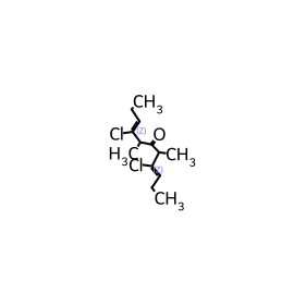 CC/C=C(\Cl)C(C)C(=O)C(C)/C(Cl)=C/CC